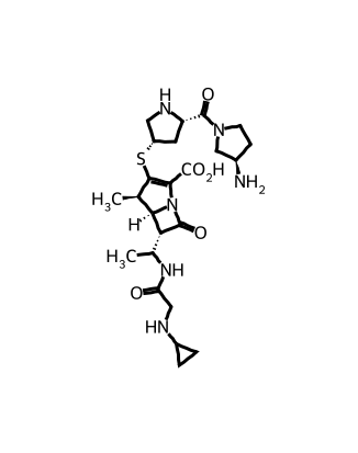 CC(NC(=O)CNC1CC1)[C@H]1C(=O)N2C(C(=O)O)=C(S[C@@H]3CN[C@H](C(=O)N4CC[C@@H](N)C4)C3)[C@H](C)[C@H]12